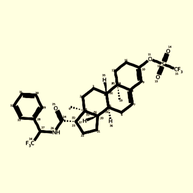 C[C@]12CC[C@H]3[C@@H](CC=C4C=C(OS(=O)(=O)C(F)(F)F)CC[C@@]43C)[C@@H]1CC[C@@H]2C(=O)NC(c1ccccc1)C(F)(F)F